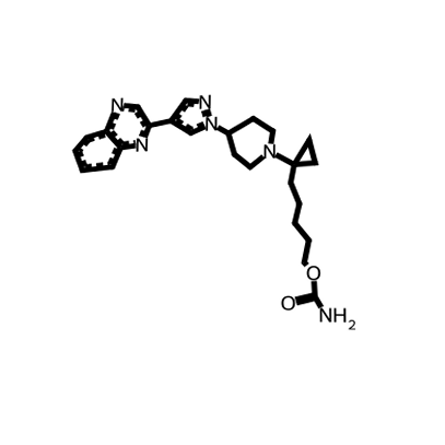 NC(=O)OCCCCCC1(N2CCC(n3cc(-c4cnc5ccccc5n4)cn3)CC2)CC1